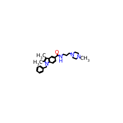 Cc1c(C)n(Cc2ccccc2)c2ccc(C(=O)NCCCN3CCN(C)CC3)cc12